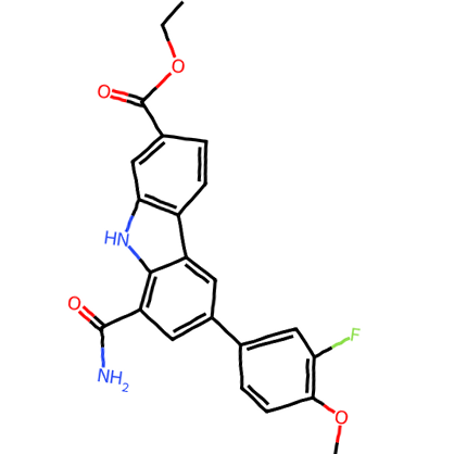 CCOC(=O)c1ccc2c(c1)[nH]c1c(C(N)=O)cc(-c3ccc(OC)c(F)c3)cc12